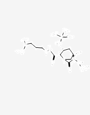 CC(C)(C)N(CCCONC(=O)[C@@H]1CC[C@@H]2CN1C(=O)N2OS(=O)(=O)O)C(=O)[O-].CCCC[N+](CCCC)(CCCC)CCCC